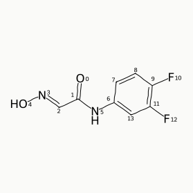 O=C(C=NO)Nc1ccc(F)c(F)c1